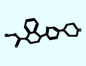 CC(C)(C)OC(=O)N1CCN(c2ccc(N3CCNCC3)cn2)c2ccccc21